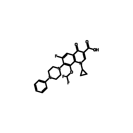 O=C(O)c1cn(C2CC2)c2c(OC(F)F)c(N3CCN(c4ccccc4)CC3)c(F)cc2c1=O